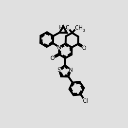 CC1(C)CC(=O)c2cc(-c3nc(-c4ccc(Cl)cc4)cs3)c(=O)n(-c3ccccc3C3CC3)c2C1